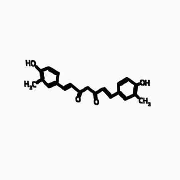 Cc1cc(C=CC(=O)CC(=O)C=Cc2ccc(O)c(C)c2)ccc1O